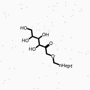 CCCCCCCCOCC(=O)C(O)C(O)C(O)CO